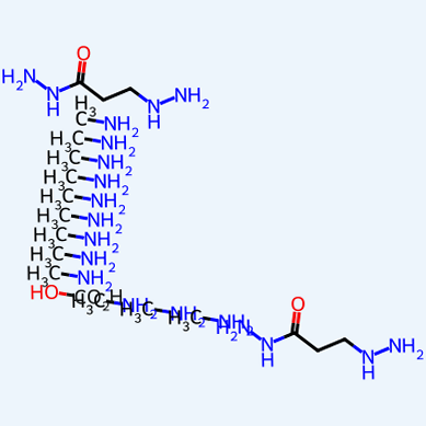 CN.CN.CN.CN.CN.CN.CN.CN.CN.CN.CN.CN.NNCCC(=O)NN.NNCCC(=O)NN.O=C(O)O